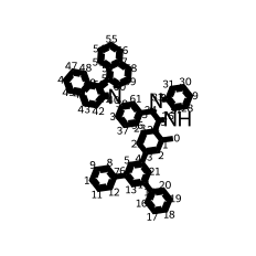 CC1C=C(c2cc(-c3ccccc3)cc(-c3ccccc3)c2)C=CC1C1Nc2ccccc2N=C1c1cccc(-n2c3ccc4ccccc4c3c3c4ccccc4ccc32)c1